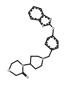 O=C1COCCN1C1CCN(Cc2ccc(Oc3nc4ccccc4s3)cc2)CC1